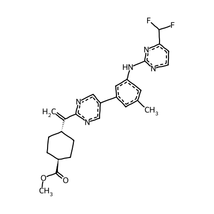 C=C(c1ncc(-c2cc(C)cc(Nc3nccc(C(F)F)n3)c2)cn1)[C@H]1CC[C@H](C(=O)OC)CC1